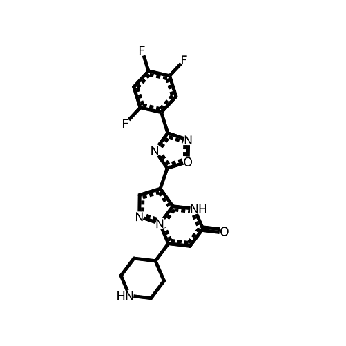 O=c1cc(C2CCNCC2)n2ncc(-c3nc(-c4cc(F)c(F)cc4F)no3)c2[nH]1